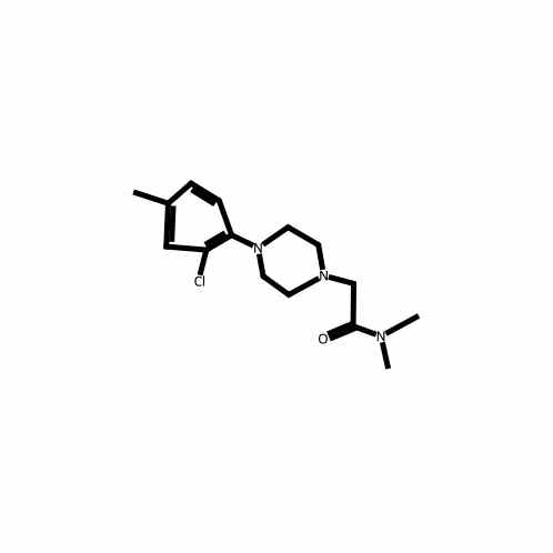 Cc1ccc(N2CCN(CC(=O)N(C)C)CC2)c(Cl)c1